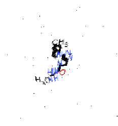 CNCCNC(=O)C1=Nc2c(ncnc2N2CCc3cc(C)ccc32)C1